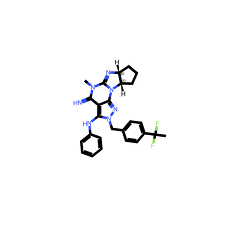 CN1C(=N)c2c(nn(Cc3ccc(C(C)(F)F)cc3)c2Nc2ccccc2)N2C1=N[C@@H]1CCC[C@@H]12